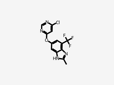 Cc1nc2c(C(F)(F)F)cc(Oc3cc(Cl)ncn3)cc2[nH]1